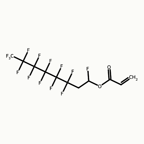 C=CC(=O)OC(F)CC(F)(F)C(F)(F)C(F)(F)C(F)(F)C(F)(F)C(F)(F)F